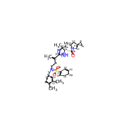 C=C(CCN(Cc1ccc(C)c(C)c1)S(=O)(=O)C1=CCCC=C1)C1=NC(C)(C)[C@H](C(=O)N2CCC3(CC3)C2)N1